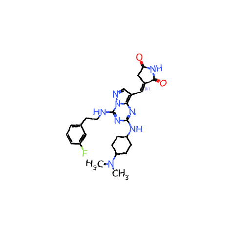 CN(C)C1CCC(Nc2nc(NCCc3cccc(F)c3)n3ncc(/C=C4\CC(=O)NC4=O)c3n2)CC1